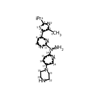 Cc1nc(C(C)C)sc1-c1ccnc(N(N)c2ccc(N3CCNCC3)cn2)n1